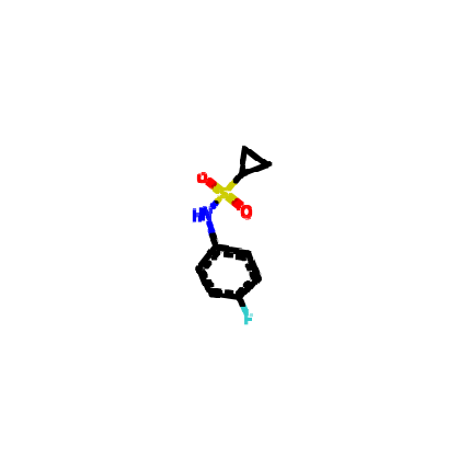 O=S(=O)(Nc1ccc(F)cc1)C1CC1